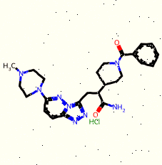 CN1CCN(c2ccc3nnc(CC(C(N)=O)C4CCN(C(=O)c5ccccc5)CC4)n3n2)CC1.Cl